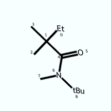 CCC(C)(C)C(=O)N(C)C(C)(C)C